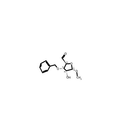 CO[C@H]1O[C@H](C=O)[C@@H](OCc2ccccc2)[C@H]1O